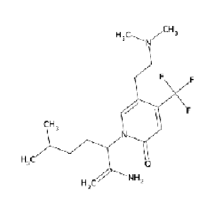 C=C(N)C(CCC(C)C)n1cc(CCN(C)C)c(C(F)(F)F)cc1=O